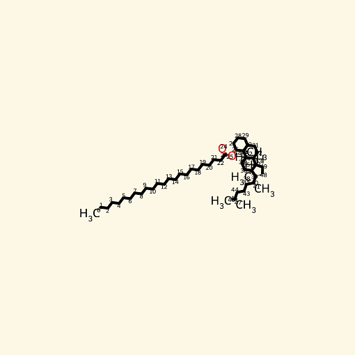 CCCCCCCCCCCCCCCCCCCCCCCC(=O)OC1CCCC2CC[C@@H]3[C@H](CC[C@]4(C)[C@@H]([C@H](C)CCCC(C)C)CC[C@@H]34)[C@]21C